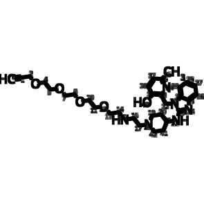 C#CCOCCOCCOCCOCCNCCN1CCC(Nc2nc3ccccc3n2Cc2nc(C)ccc2O)CC1